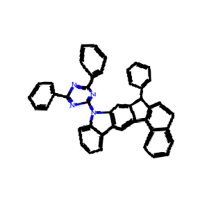 c1ccc(-c2nc(-c3ccccc3)nc(-n3c4ccccc4c4cc5c(cc43)C(c3ccccc3)c3ccc4ccccc4c3-5)n2)cc1